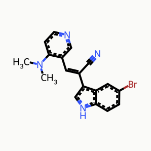 CN(C)c1ccncc1C=C(C#N)c1c[nH]c2ccc(Br)cc12